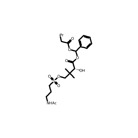 CC(=O)NCCCS(=O)(=O)OCC(C)(C)[C@@H](O)C(=O)OC(OC(=O)CC(C)C)c1ccccc1